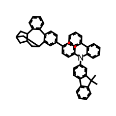 CC1(C)c2ccccc2-c2ccc(N(c3ccc(-c4ccc5c(c4)C4CC6CC(C4)C(C6)c4ccccc4-5)cc3)c3ccccc3-c3ccccc3)cc21